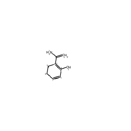 C=C(N)C1=C(O)C=CCC1